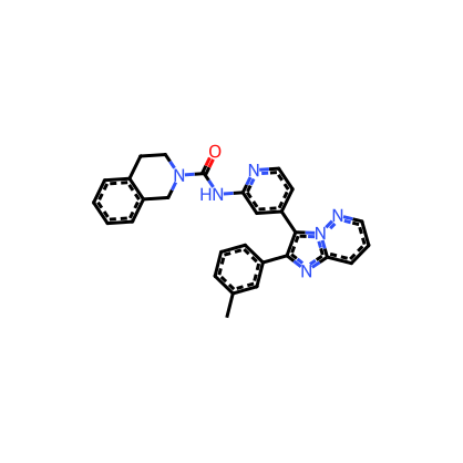 Cc1cccc(-c2nc3cccnn3c2-c2ccnc(NC(=O)N3CCc4ccccc4C3)c2)c1